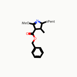 CCCCCC1N=C(OC)C(C(=O)OCc2ccccc2)C1C